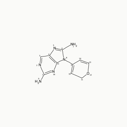 Nc1ncc2nc(N)n(C3=CCOC=C3)c2n1